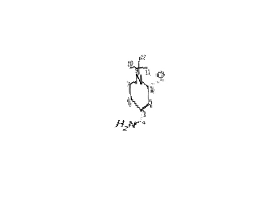 C[C@@H]1C[C@H](CN)CCN1C(C)(C)C